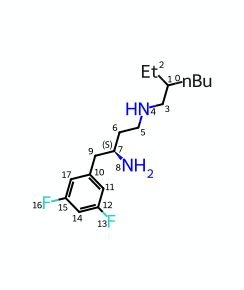 CCCCC(CC)CNCC[C@@H](N)Cc1cc(F)cc(F)c1